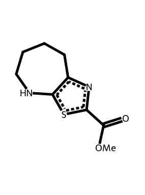 COC(=O)c1nc2c(s1)NCCCC2